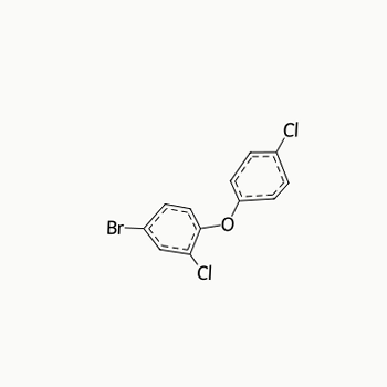 Clc1ccc(Oc2ccc(Br)cc2Cl)cc1